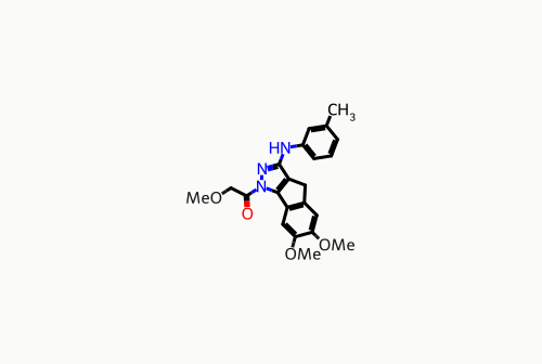 COCC(=O)n1nc(Nc2cccc(C)c2)c2c1-c1cc(OC)c(OC)cc1C2